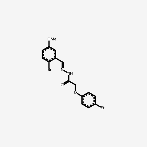 CCc1ccc(OCC(=O)NN=Cc2cc(OC)ccc2Br)cc1